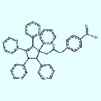 O=C(Cc1ccc(C(=O)O)cc1)C[Si]1(c2ccccc2)C(c2ccccc2)=C(c2ccccc2)C(c2ccccc2)=C1c1ccccc1